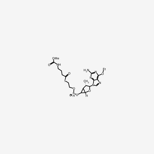 CCOc1nc(N)nc2c1ncn2C1O[C@@H]2C(O[PH](=O)OCCSC(=O)CCCNC(=O)OC)C2[C@@H]1C